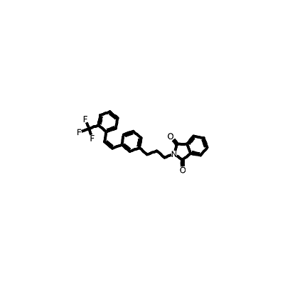 O=C1c2ccccc2C(=O)N1CCCc1cccc(/C=C\c2ccccc2C(F)(F)F)c1